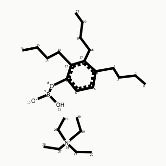 CCCCc1ccc(OB([O-])O)c(CCCC)c1CCCC.CC[N+](CC)(CC)CC